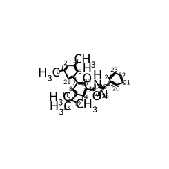 Cc1cc(C)cc(-c2cc(C(C)(C)C)cc(C3NC(c4ccccc4)=NO3)c2O)c1